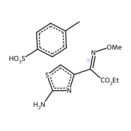 CCOC(=O)/C(=N\OC)c1csc(N)n1.Cc1ccc(S(=O)(=O)O)cc1